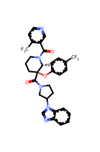 CCC[C@H]1N(C(=O)c2cnccc2C(F)(F)F)CCC[C@@]1(Oc1ccc(C(F)(F)F)cc1)C(=O)N1CCC(n2cnc3ccccc32)C1